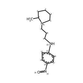 CC1CCCCN1CCCNc1ccc(N=O)cc1